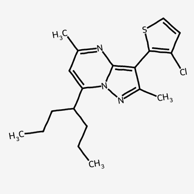 CCCC(CCC)c1cc(C)nc2c(-c3sccc3Cl)c(C)nn12